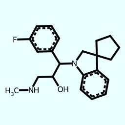 CNCC(O)C(c1cccc(F)c1)N1CC2(CCCC2)c2ccccc21